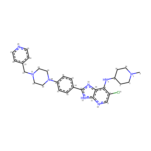 CN1CCC(Nc2c(Cl)cnc3[nH]c(-c4ccc(N5CCN(Cc6ccncc6)CC5)cc4)nc23)CC1